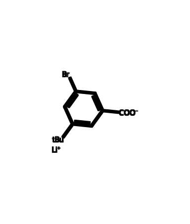 CC(C)(C)c1cc(Br)cc(C(=O)[O-])c1.[Li+]